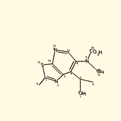 Cc1nc2c(C(C)O)c(N(C(=O)O)C(C)(C)C)cnc2s1